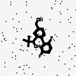 CC(C)(C)C(O)c1cc(CO)ccc1-c1cc(F)ccc1F